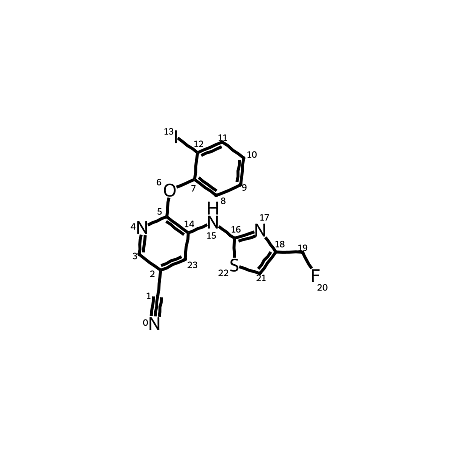 N#Cc1cnc(Oc2ccccc2I)c(Nc2nc(CF)cs2)c1